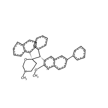 COc1nc2ccc(-c3ccccc3)cc2cc1[C@@H](c1ccccc1)[C@@]1(c2cccc3ccccc23)CCN(C)CO1